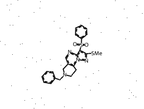 CSc1nn2c3c(cnc2c1S(=O)(=O)c1ccccc1)CN(Cc1ccccc1)CC3